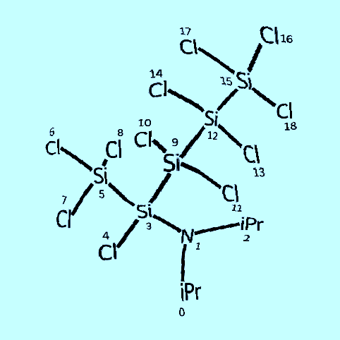 CC(C)N(C(C)C)[Si](Cl)([Si](Cl)(Cl)Cl)[Si](Cl)(Cl)[Si](Cl)(Cl)[Si](Cl)(Cl)Cl